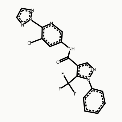 O=C(Nc1cnc(-n2nccn2)c(Cl)c1)c1cnn(-c2ccccc2)c1C(F)(F)F